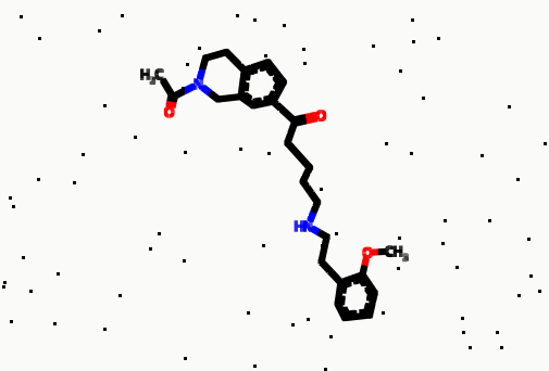 COc1ccccc1CCNCCCCC(=O)c1ccc2c(c1)CN(C(C)=O)CC2